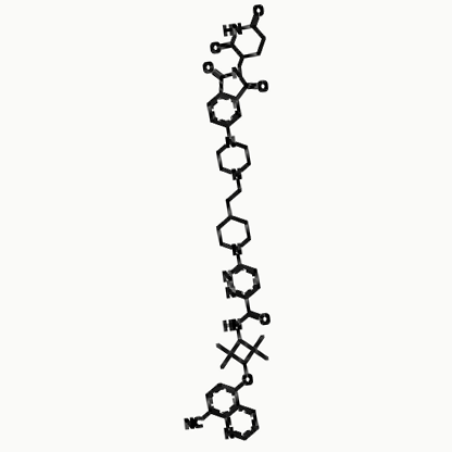 CC1(C)C(NC(=O)c2ccc(N3CCC(CCN4CCN(c5ccc6c(c5)C(=O)N(C5CCC(=O)NC5=O)C6=O)CC4)CC3)nn2)C(C)(C)C1Oc1ccc(C#N)c2ncccc12